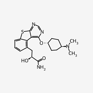 CN(C)[C@H]1CC[C@H](Oc2ncnc3sc4cccc(C[C@H](O)C(N)=O)c4c23)CC1